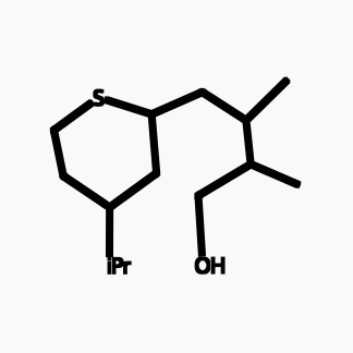 CC(C)C1CCSC(CC(C)C(C)CO)C1